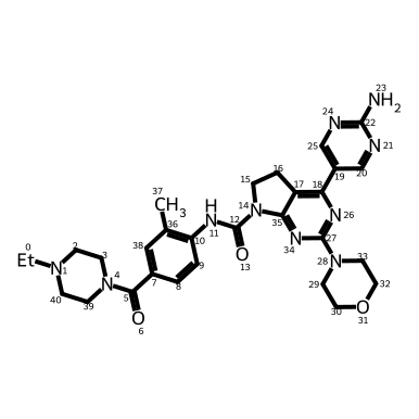 CCN1CCN(C(=O)c2ccc(NC(=O)N3CCc4c(-c5cnc(N)nc5)nc(N5CCOCC5)nc43)c(C)c2)CC1